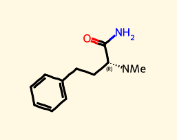 CN[C@H](CCc1ccccc1)C(N)=O